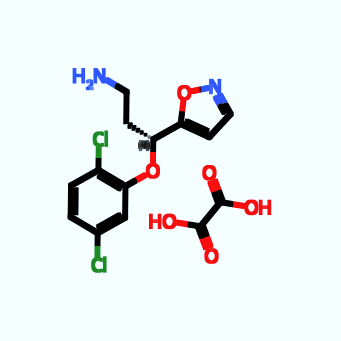 NCC[C@@H](Oc1cc(Cl)ccc1Cl)c1ccno1.O=C(O)C(=O)O